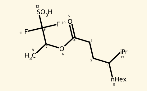 CCCCCCC(CCC(=O)OC(C)C(F)(F)S(=O)(=O)O)C(C)C